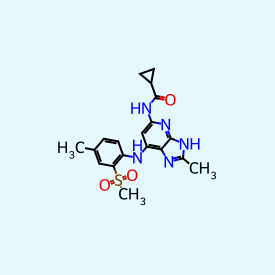 Cc1ccc(Nc2cc(NC(=O)C3CC3)nc3[nH]c(C)nc23)c(S(C)(=O)=O)c1